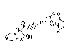 O=C(CCOCCNC(=O)c1nc2ccccc2nc1O)ON1C(=O)CCC1=O